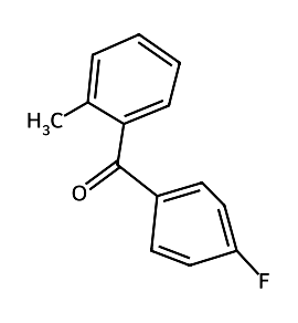 Cc1ccccc1C(=O)c1ccc(F)cc1